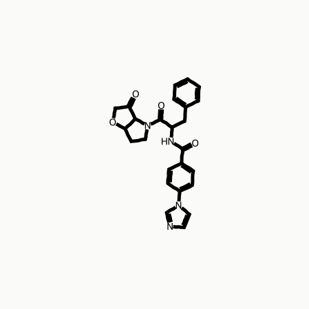 O=C(NC(Cc1ccccc1)C(=O)N1CCC2OCC(=O)C21)c1ccc(-n2ccnc2)cc1